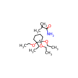 C=C(C)C(N)=O.CCOC1(CC)CCCC[Si]1(OCC)OCC